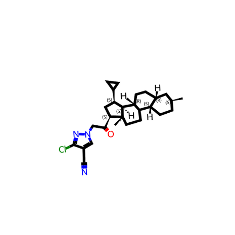 C[C@H]1CC[C@@H]2C3CC[C@@]4(C)[C@H]([C@@H]3CC[C@@H]2C1)[C@H](C1CC1)C[C@@H]4C(=O)Cn1cc(C#N)c(Cl)n1